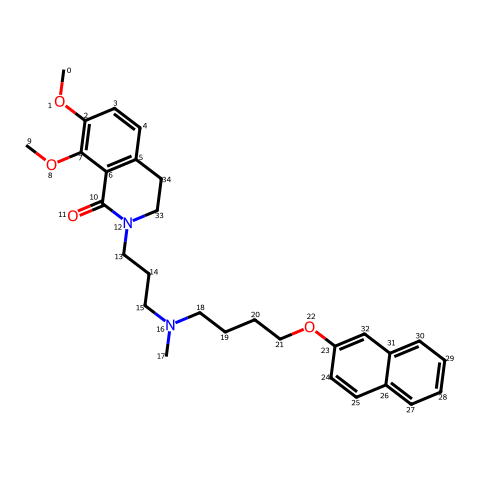 COc1ccc2c(c1OC)C(=O)N(CCCN(C)CCCCOc1ccc3ccccc3c1)CC2